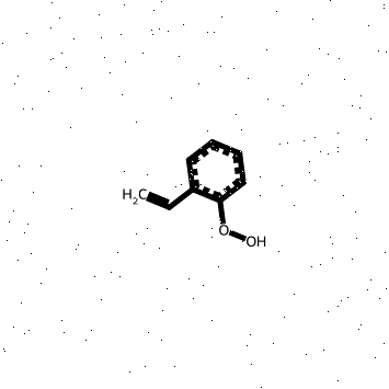 C=Cc1ccccc1OO